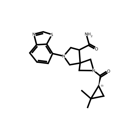 CC1(C)C[C@@H]1C(=O)N1CC2(C1)CN(c1cccc3ncsc13)CC2C(N)=O